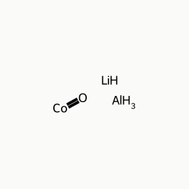 [AlH3].[LiH].[O]=[Co]